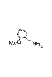 COc1ccccc1C[CH]N